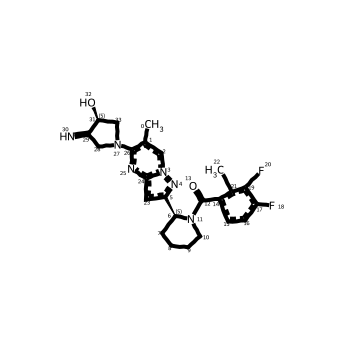 Cc1cn2nc([C@@H]3CCCCN3C(=O)c3ccc(F)c(F)c3C)cc2nc1N1CC(=N)[C@@H](O)C1